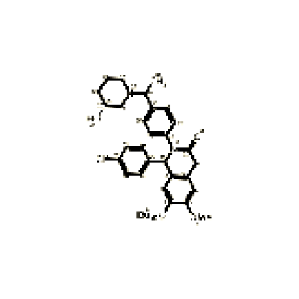 CC[C@@H](C)Oc1cc2c(cc1OC)CC(=O)N(c1ccc(C(C)N3CCC[C@@H](O)C3)cc1)C2c1ccc(Cl)cc1